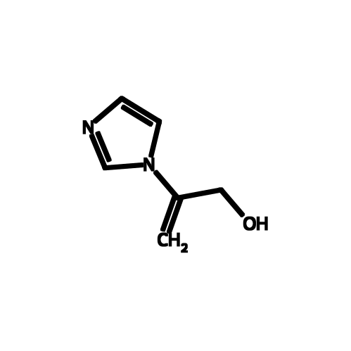 C=C(CO)n1ccnc1